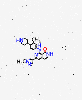 Cc1cc(Nc2nc(-c3cnn(C)c3)cc3cc[nH]c(=O)c23)ccc1C1CCNCC1